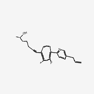 C=CCc1ccc(-c2ccc(/C=C/CCCC(C)O)c(F)c2F)nc1